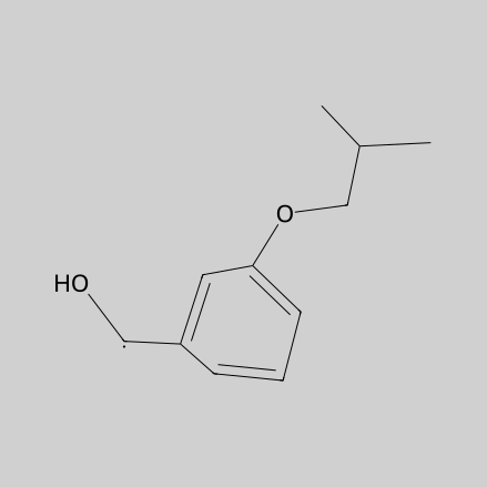 CC(C)COc1cccc([CH]O)c1